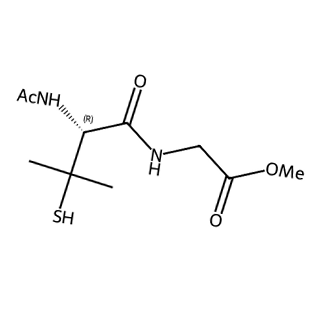 COC(=O)CNC(=O)[C@@H](NC(C)=O)C(C)(C)S